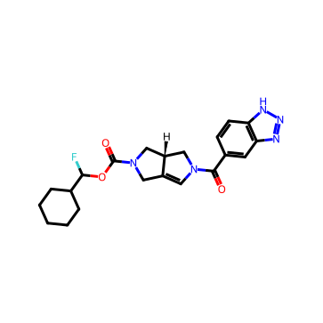 O=C(c1ccc2[nH]nnc2c1)N1C=C2CN(C(=O)OC(F)C3CCCCC3)C[C@@H]2C1